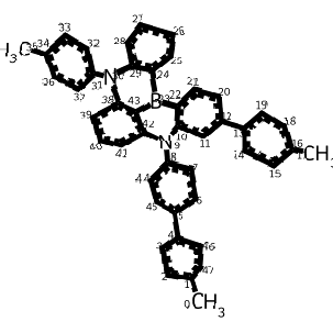 Cc1ccc(-c2ccc(N3c4cc(-c5ccc(C)cc5)ccc4B4c5ccccc5N(c5ccc(C)cc5)c5cccc3c54)cc2)cc1